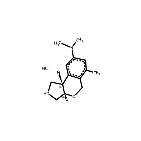 CN(C)c1cc2c(c(C(F)(F)F)c1)CO[C@@H]1CNC[C@H]21.Cl